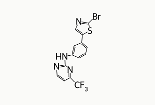 FC(F)(F)c1ccnc(Nc2cccc(-c3cnc(Br)s3)c2)n1